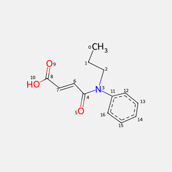 CCCN(C(=O)C=CC(=O)O)c1ccccc1